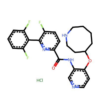 Cl.O=C(Nc1cnccc1OC1CCCCNCC1)c1ccc(F)c(-c2c(F)cccc2F)n1